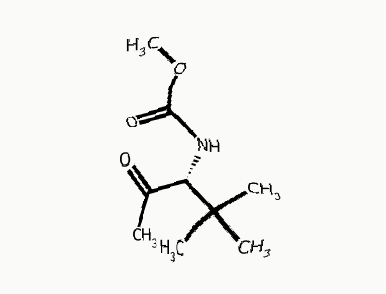 COC(=O)N[C@@H](C(C)=O)C(C)(C)C